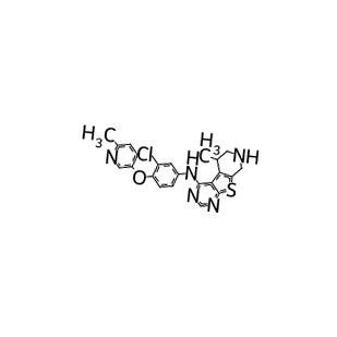 Cc1ccc(Oc2ccc(Nc3ncnc4sc5c(c34)C(C)CNC5)cc2Cl)cn1